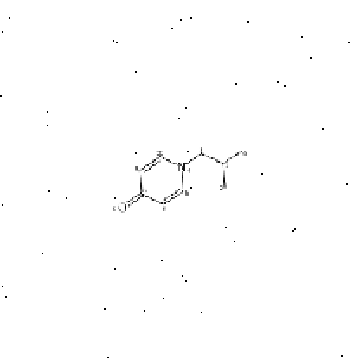 CC(C)Cn1ccc(=O)cc1